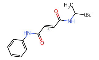 CC(NC(=O)/C=C/C(=O)Nc1ccccc1)C(C)(C)C